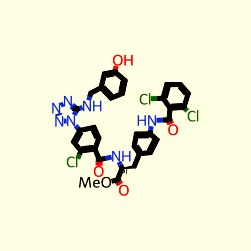 COC(=O)[C@H](Cc1ccc(NC(=O)c2c(Cl)cccc2Cl)cc1)NC(=O)c1ccc(-n2nnnc2NCc2cccc(O)c2)cc1Cl